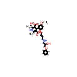 COc1ccc(OCC=CCNC[C@H](O)COc2ccccc2)c(C2C(C(=O)O)=C(C)NC(C)=C2C(=O)O)c1